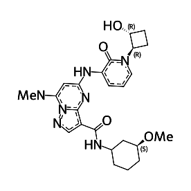 CNc1cc(Nc2cccn([C@@H]3CC[C@H]3O)c2=O)nc2c(C(=O)NC3CCC[C@H](OC)C3)cnn12